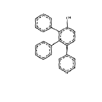 N#Cc1ccc(-c2ccncc2)c(-c2ccccc2)c1-c1ccccc1